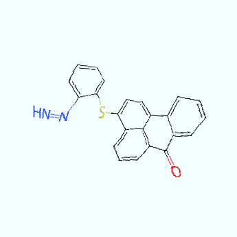 N=Nc1ccccc1Sc1ccc2c3c(cccc13)C(=O)c1ccccc1-2